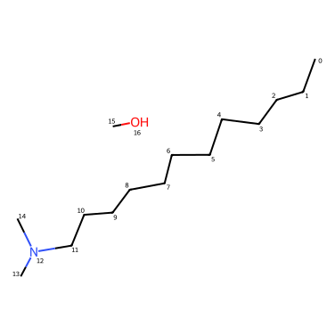 CCCCCCCCCCCCN(C)C.CO